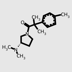 Cc1ccc(C(C)(C)C(=O)N2CC[C@H](N(C)C)C2)cc1